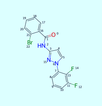 O=C(Nc1ccn(-c2cccc(F)c2F)n1)c1ccccc1Br